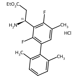 CCOC(=O)C[C@H](N)c1c(F)c(C)cc(-c2c(C)cccc2C)c1F.Cl